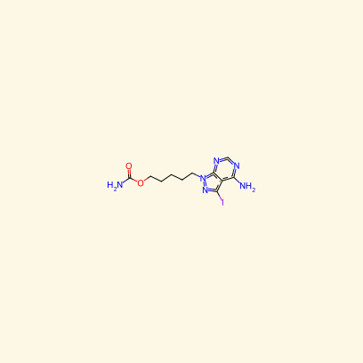 NC(=O)OCCCCCn1nc(I)c2c(N)ncnc21